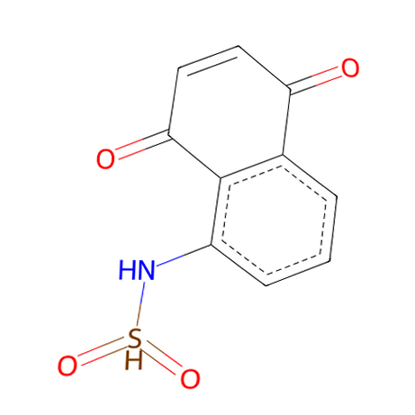 O=C1C=CC(=O)c2c(N[SH](=O)=O)cccc21